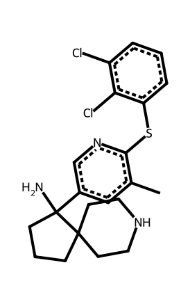 Cc1cc(C2(N)CCCC23CCNCC3)cnc1Sc1cccc(Cl)c1Cl